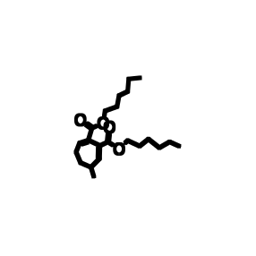 CCCCCCOC(=O)C1=CCCC(C)C=C1C(=O)OCCCCCC